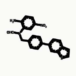 Nc1ccc([N+](=O)[O-])cc1N(C=O)Cc1ccc(-c2ccc3ccsc3c2)cc1